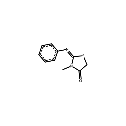 CN1C(=O)CSC1=Nc1ccccc1